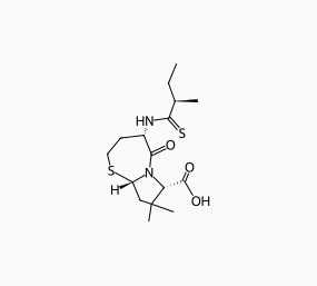 CC[C@@H](C)C(=S)N[C@H]1CCS[C@H]2CC(C)(C)[C@@H](C(=O)O)N2C1=O